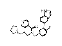 O=C(c1ccncc1)N(CCCN1CCCC1)Cc1ccc(F)c(-c2ccc3[nH]ccc3c2)c1